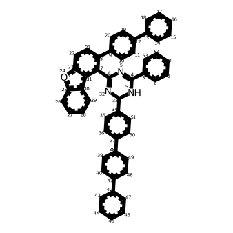 c1ccc(C2=NC(c3c(-c4ccc(-c5ccccc5)cc4)ccc4oc5ccccc5c34)=NC(c3ccc(-c4ccc(-c5ccccc5)cc4)cc3)N2)cc1